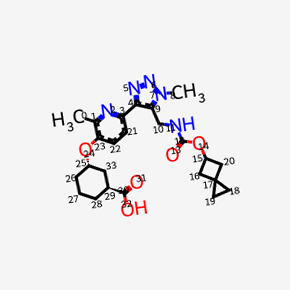 Cc1nc(-c2nnn(C)c2CNC(=O)OC2CC3(CC3)C2)ccc1O[C@H]1CCC[C@H](C(=O)O)C1